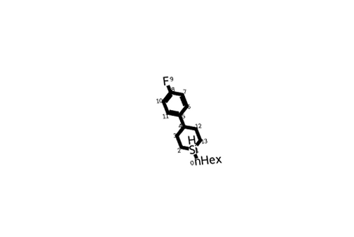 CCCCCC[SiH]1CCC(c2ccc(F)cc2)CC1